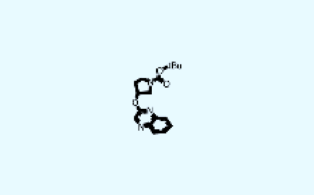 CC(C)(C)OC(=O)N1CCC(Oc2cnc3ccccc3n2)C1